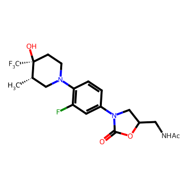 CC(=O)NCC1CN(c2ccc(N3CC[C@@](O)(C(F)(F)F)[C@@H](C)C3)c(F)c2)C(=O)O1